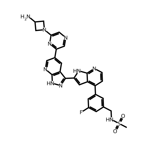 CS(=O)(=O)NCc1cc(F)cc(-c2ccnc3[nH]c(-c4n[nH]c5ncc(-c6cncc(N7CC(N)C7)n6)cc45)cc23)c1